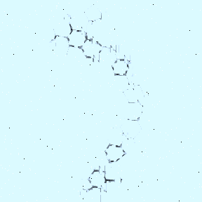 CC(=O)c1c(C)c2cnc(Nc3ccc(N4CCN(CC5CCN(c6ccc(-n7ccc(=O)[nH]c7=O)cc6)CC5)CC4)cn3)nc2n(C2CCCC2)c1=O